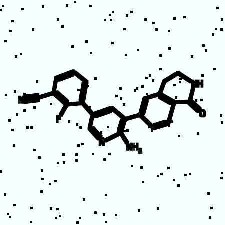 N#Cc1cccc(-c2cnc(N)c(-c3ccc4c(c3)CCNC4=O)c2)c1F